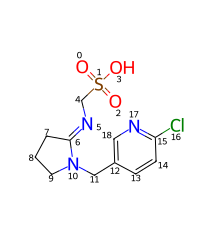 O=S(=O)(O)CN=C1CCCN1Cc1ccc(Cl)nc1